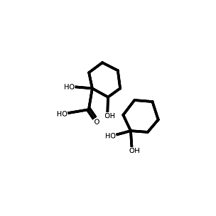 O=C(O)C1(O)CCCCC1O.OC1(O)CCCCC1